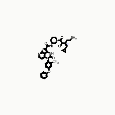 BCC/C(=C/C1CC1)C(Cl)C(=O)N1CCC[C@@H](NC(=O)c2sc3nccc4c3c2NC(=O)N4c2ccc(Oc3ccccc3)cc2C)C1